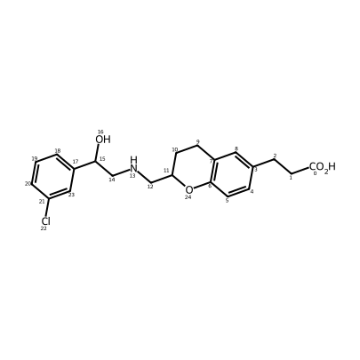 O=C(O)CCc1ccc2c(c1)CCC(CNCC(O)c1cccc(Cl)c1)O2